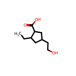 CCC1CC(CCO)CC1C(=O)O